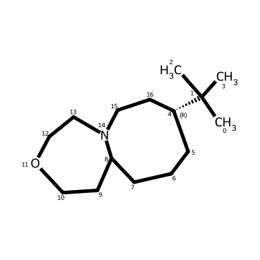 CC(C)(C)[C@@H]1CCCC2CCOCCN2CC1